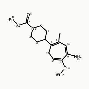 CC1=C(C2CCN(C(=O)OC(C)(C)C)CC2)CC=C(OC(C)C)C(N)=C1